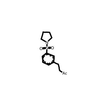 CC(=O)CCc1cccc(S(=O)(=O)N2CCCC2)c1